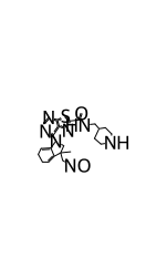 CC1(CN=O)CN(c2ncnc3sc(C(=O)NCC4CCNCC4)nc23)C2=CCCC=C21